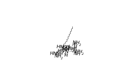 CCCCCCCCCCCCCCCC(=O)N[C@@H](CCCNC(=N)N)C(=O)N[C@@H](CC(C)C)C(=O)N[C@@H](CCCNC(=N)N)C(=O)N[C@@H](CCC(N)=O)C(C)=O